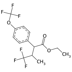 CCOC(=O)C(c1ccc(OC(F)(F)F)cc1)C(C)C(F)(F)F